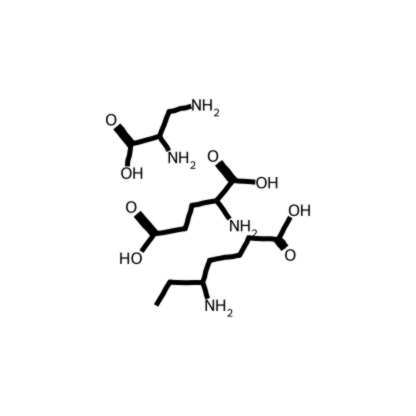 CCC(N)CCCC(=O)O.NC(CCC(=O)O)C(=O)O.NCC(N)C(=O)O